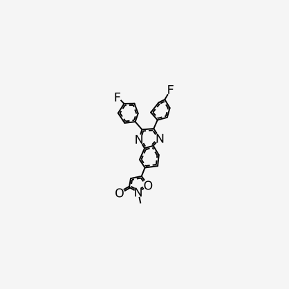 Cn1oc(-c2ccc3nc(-c4ccc(F)cc4)c(-c4ccc(F)cc4)nc3c2)cc1=O